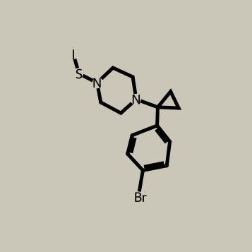 Brc1ccc(C2(N3CCN(SI)CC3)CC2)cc1